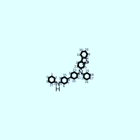 c1ccc(Nc2ccc(-c3ccc(N(c4ccccc4)c4ccc5c(c4)sc4ccccc45)cc3)cc2)cc1